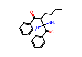 CCCCC(C(=O)c1ccccc1)C(N)(N)C(=O)c1ccccc1